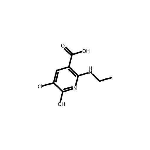 CCNc1nc(O)c(Cl)cc1C(=O)O